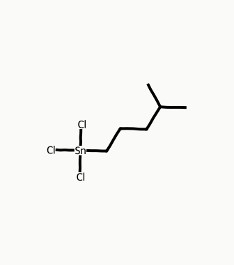 CC(C)CC[CH2][Sn]([Cl])([Cl])[Cl]